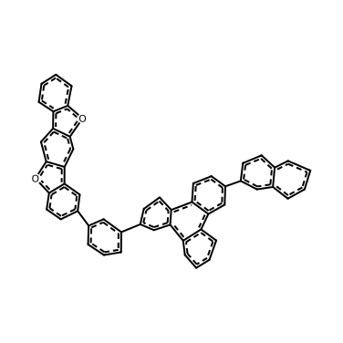 c1cc(-c2ccc3oc4cc5c(cc4c3c2)oc2ccccc25)cc(-c2ccc3c4ccc(-c5ccc6ccccc6c5)cc4c4ccccc4c3c2)c1